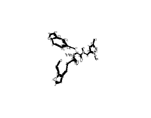 C/C=c1/occ/c1=C/CC(=O)N[C@H](Cc1ccc2occc2c1)C(=O)N(C)Cc1cc(C)nn1C